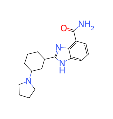 NC(=O)c1cccc2[nH]c(C3CCCC(N4CCCC4)C3)nc12